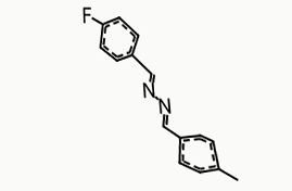 Cc1ccc(C=NN=Cc2ccc(F)cc2)cc1